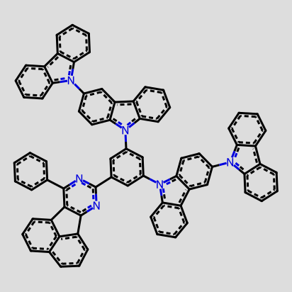 c1ccc(-c2nc(-c3cc(-n4c5ccccc5c5cc(-n6c7ccccc7c7ccccc76)ccc54)cc(-n4c5ccccc5c5cc(-n6c7ccccc7c7ccccc76)ccc54)c3)nc3c2-c2cccc4cccc-3c24)cc1